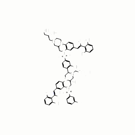 C/C(=C\c1ccc2c(c1)N(S(=O)(=O)c1ccc(C3CN4c5ccc(/C=C(\C)c6c(F)cccc6Cl)cc5N(S(=O)(=O)c5cccc(C(F)(F)F)c5)C[C@@H]4CN3CC(=O)O)c(C(F)(F)F)c1)C[C@@H]1CN(C[C@@H](O)CO)CCN21)c1c(F)cccc1Cl